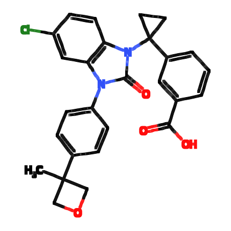 CC1(c2ccc(-n3c(=O)n(C4(c5cccc(C(=O)O)c5)CC4)c4ccc(Cl)cc43)cc2)COC1